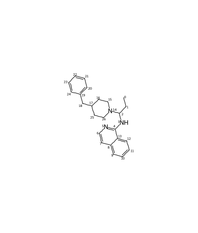 CCC(Nc1nccc2ccccc12)N1CCC(Cc2ccccc2)CC1